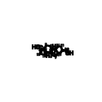 C[C@]12CC[C@H]3[C@@H](CCC4=C/C(=N\O)CC[C@@H]43)[C@@H]1CC[C@@H]2O